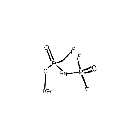 CCCOP(=O)(F)NP(=O)(F)F